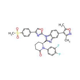 Cc1noc(C)c1-c1ccc2c(c1)nc([C@@H]1CCCC(=O)N1c1ccc(F)c(F)c1)n2-c1nc(-c2ccc(S(C)(=O)=O)cc2)co1